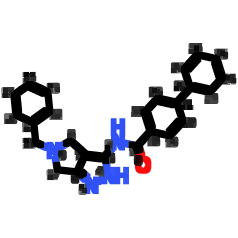 O=C(Nc1[nH]nc2c1CN(Cc1ccccc1)C2)c1ccc(-c2ccccc2)cc1